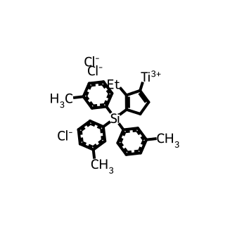 CCC1=C([Si](c2cccc(C)c2)(c2cccc(C)c2)c2cccc(C)c2)CC=[C]1[Ti+3].[Cl-].[Cl-].[Cl-]